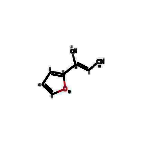 N#C/C=C(\C#N)c1ccco1